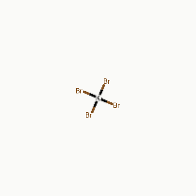 [Br][K]([Br])([Br])[Br]